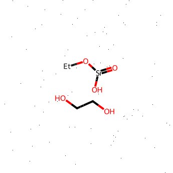 CCO[Si](=O)O.OCCO